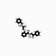 O=C(COc1ccccc1C(=O)NCC(=O)c1ccccc1)NCc1ccccc1